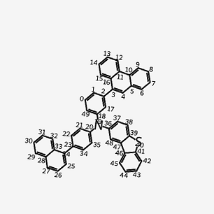 c1cc(-c2cc3ccccc3c3ccccc23)cc(N(c2ccc(-c3cccc4ccccc34)cc2)c2ccc3sc4ccccc4c3c2)c1